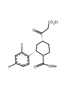 CCOC(=O)CC(=O)[C@@H]1CCN(C(=O)OC)[C@H](c2ccc(F)cc2F)C1